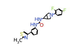 Cc1nc(-c2cccc(NC(=O)NC3C4CN(c5ccc(F)cc5F)CC43)c2)cs1